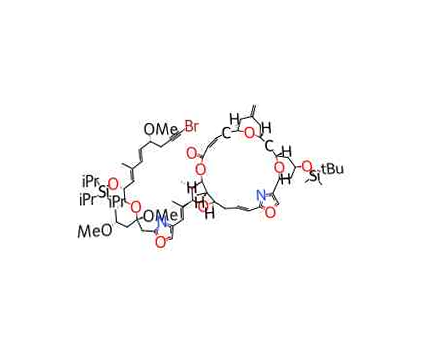 C=C1C[C@@H]2C[C@@H]3C[C@@H](O[Si](C)(C)C(C)(C)C)C[C@@H](O3)c3coc(n3)/C=C/C[C@H]3O[C@@H](/C(C)=C/c4coc(C[C@]5(OC)C[C@H](OC)C[C@H]([C@@H](/C=C(C)/C=C/[C@@H](CC#CBr)OC)O[Si](C(C)C)(C(C)C)C(C)C)O5)n4)[C@H](C)[C@@H](OC(=O)/C=C\C[C@@H](C1)O2)[C@H]3C